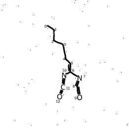 CCCCCC=C(N=C=O)N=C=O